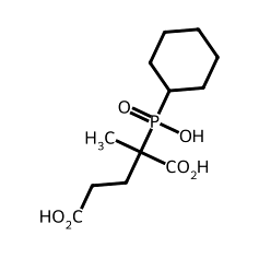 CC(CCC(=O)O)(C(=O)O)P(=O)(O)C1CCCCC1